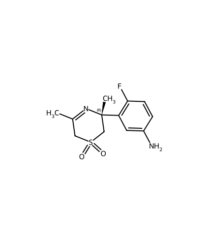 CC1=N[C@](C)(c2cc(N)ccc2F)CS(=O)(=O)C1